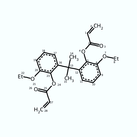 C=CC(=O)Oc1c(OCC)cccc1C(C)(C)c1cccc(OCC)c1OC(=O)C=C